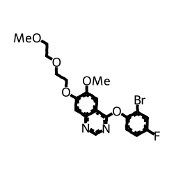 COCCOCCOc1cc2ncnc(Oc3ccc(F)cc3Br)c2cc1OC